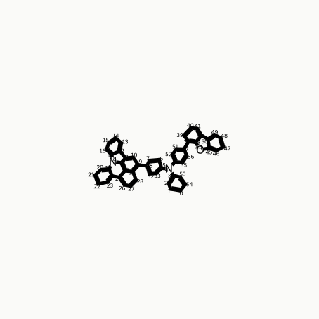 c1ccc(N(c2ccc(-c3cc4c5ccccc5n5c6ccccc6c6cccc3c6c45)cc2)c2ccc(-c3cccc4c3oc3ccccc34)cc2)cc1